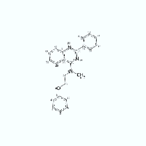 CN(CCOc1ccccc1)c1nc(-c2ccccn2)nc2ccccc12